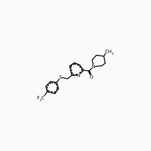 CC1CCN(C(=O)c2cccc(CSc3ccc(C(F)(F)F)cc3)n2)CC1